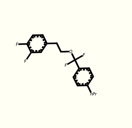 CCCc1ccc(C(F)(F)OCCc2ccc(F)c(F)c2)cc1